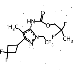 Cc1c(C2CC(F)(F)C2)nn(CC(F)(F)F)c1NC(=O)OCC(C)(F)F